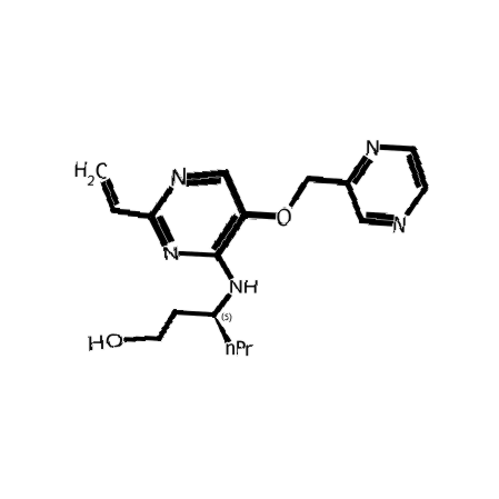 C=Cc1ncc(OCc2cnccn2)c(N[C@@H](CCC)CCO)n1